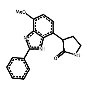 COc1ccc(C2CCNC2=O)c2[nH]c(-c3ccccc3)nc12